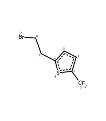 FC(F)(F)c1ccc(CCBr)s1